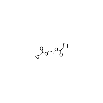 O=C(O[CH]COC(=O)C1CC1)C1CCC1